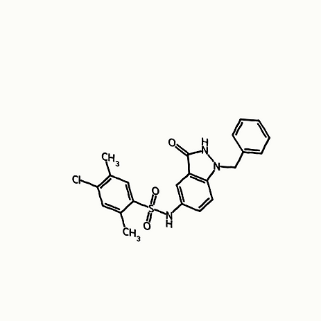 Cc1cc(S(=O)(=O)Nc2ccc3c(c2)c(=O)[nH]n3Cc2ccccc2)c(C)cc1Cl